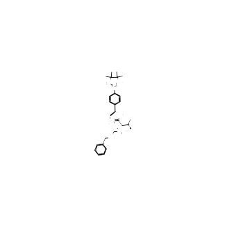 CC(C)[C@H](NC(=O)OCc1ccccc1)c1ncc(-c2ccc(B3OC(C)(C)C(C)(C)O3)cc2)o1